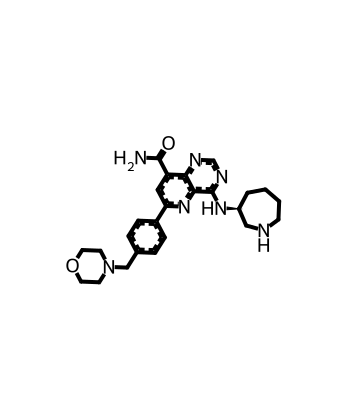 NC(=O)c1cc(-c2ccc(CN3CCOCC3)cc2)nc2c(N[C@H]3CCCCNC3)ncnc12